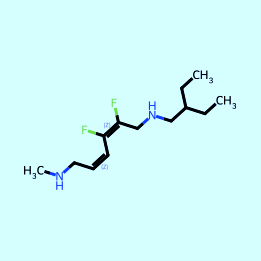 CCC(CC)CNC/C(F)=C(F)\C=C/CNC